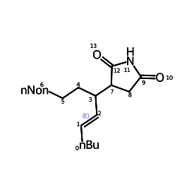 CCCC/C=C/C(CCCCCCCCCCC)C1CC(=O)NC1=O